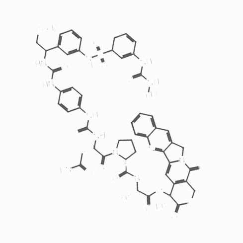 CCCNC(=O)NC1=CC(S(=O)(=O)Nc2cccc(C(CC(=O)O)NC(=O)Nc3ccc(NC(=S)N[C@@H](CC(N)=O)C(=O)N4CCC[C@H]4C(=O)N[C@H](C(=O)O[C@]4(CC)C(=O)OCc5c4cc4n(c5=O)Cc5cc6ccccc6nc5-4)C(C)C)cc3)c2)CC=C1